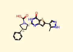 Cc1[nH]ncc1-c1cc2nc([C@@H]3C[C@@H](c4ccccc4)CN3C(=O)O)[nH]c(=O)c2s1